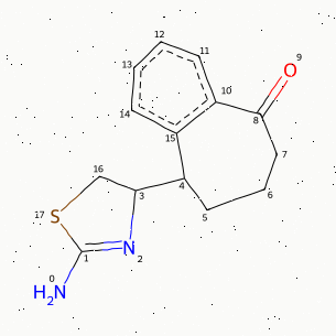 NC1=NC(C2CCCC(=O)c3ccccc32)CS1